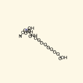 N#Cc1ccc(O/C(=C/C(=O)O)C(=O)NCCC(=O)NCCOCCOCCOCCOCCOCCOCCOCCOCCC(=O)O)cc1